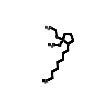 CCCCCCCCN1CCC[Si]1(OC)OCC